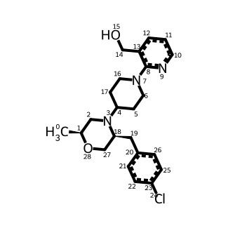 C[C@H]1CN(C2CCN(c3ncccc3CO)CC2)[C@@H](Cc2ccc(Cl)cc2)CO1